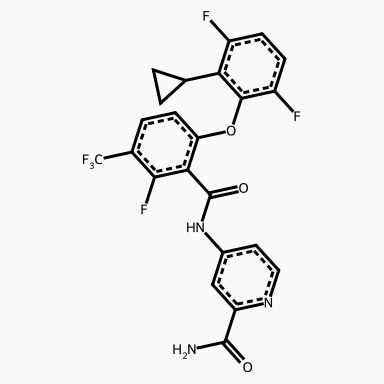 NC(=O)c1cc(NC(=O)c2c(Oc3c(F)ccc(F)c3C3CC3)ccc(C(F)(F)F)c2F)ccn1